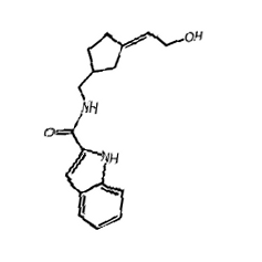 O=C(NCC1CCC(=CCO)C1)c1cc2ccccc2[nH]1